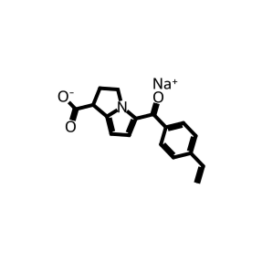 C=Cc1ccc(C(=O)c2ccc3n2CCC3C(=O)[O-])cc1.[Na+]